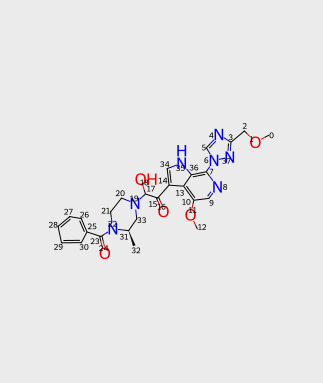 COCc1ncn(-c2ncc(OC)c3c(C(=O)C(O)N4CCN(C(=O)c5ccccc5)[C@H](C)C4)c[nH]c23)n1